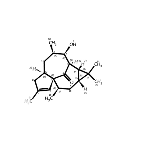 CC1=C[C@]23C(=O)[C@@H]([C@H](O)[C@H](C)C[C@@H]2C1)[C@H]1[C@@H](C[C@H]3C)C1(C)C